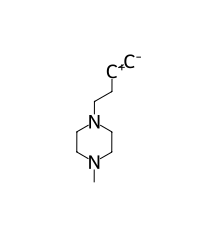 [CH2-][CH+]CCN1CCN(C)CC1